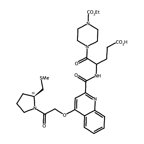 CCOC(=O)N1CCN(C(=O)C(CCC(=O)O)NC(=O)c2cc(OCC(=O)N3CCC[C@H]3CSC)c3ccccc3n2)CC1